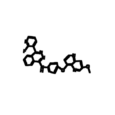 COc1cnc2c(Oc3ccc(Nc4nnc(-c5cccnc5F)c5ccccc45)cc3)ccnc2c1